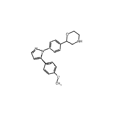 COc1ccc(-c2ccnn2-c2ccc(C3CNCCO3)cc2)cc1